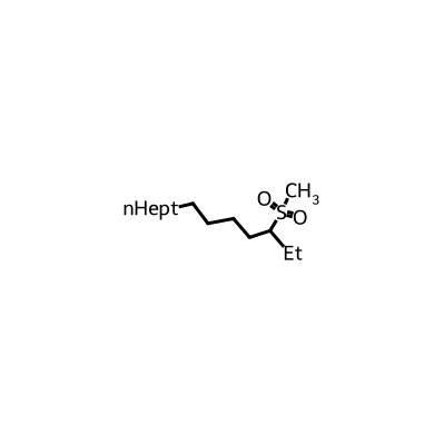 CCCCCCCCCCCC(CC)S(C)(=O)=O